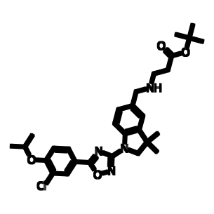 CC(C)Oc1ccc(-c2nc(N3CC(C)(C)c4cc(CNCCC(=O)OC(C)(C)C)ccc43)no2)cc1Cl